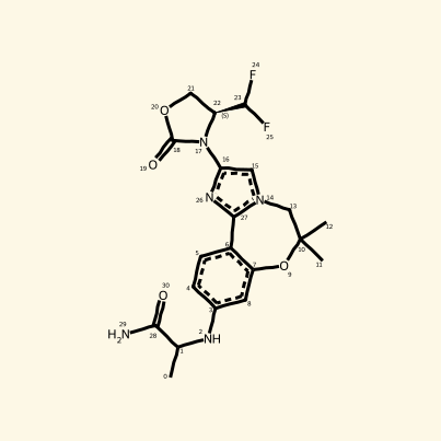 CC(Nc1ccc2c(c1)OC(C)(C)Cn1cc(N3C(=O)OC[C@H]3C(F)F)nc1-2)C(N)=O